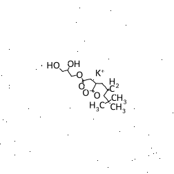 C=C(CC(CC(=O)OCC(O)CO)C(=O)[O-])CC(C)(C)C.[K+]